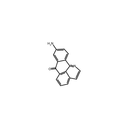 Nc1ccc2c(c1)C(=O)c1cccc3ccnc-2c13